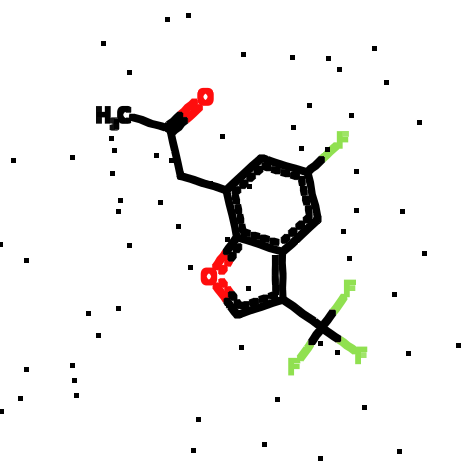 CC(=O)Cc1cc(F)cc2c(C(F)(F)F)coc12